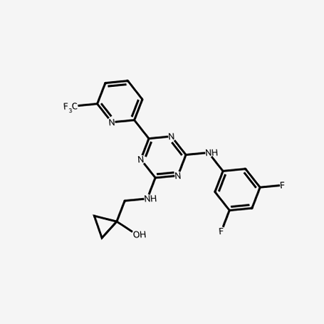 OC1(CNc2nc(Nc3cc(F)cc(F)c3)nc(-c3cccc(C(F)(F)F)n3)n2)CC1